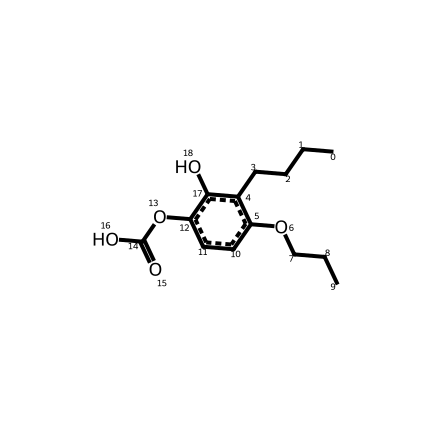 CCCCc1c(OCCC)ccc(OC(=O)O)c1O